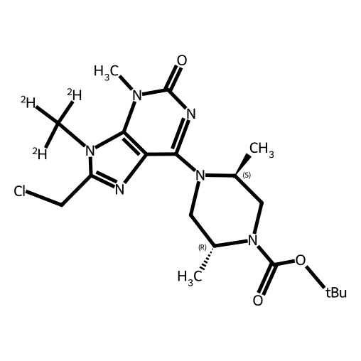 [2H]C([2H])([2H])n1c(CCl)nc2c(N3C[C@@H](C)N(C(=O)OC(C)(C)C)C[C@@H]3C)nc(=O)n(C)c21